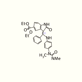 CCOP(=O)(OCC)c1ccc2c(c1)/C(=C(/Nc1ccc(N(C)C(=O)NC)cc1)c1ccccc1)C(=O)N2